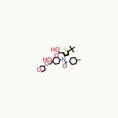 CC(C)(C)c1cc(N(C(=O)[C@H]2CC[C@H](C)CC2)[C@H]2CC[C@@](O)(CO[C@H]3CCOC3)CC2)c(C(=O)O)s1